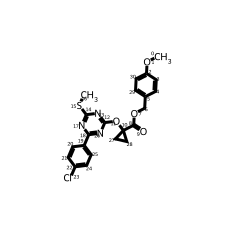 COc1ccc(COC(=O)C2(Oc3nc(SC)nc(-c4ccc(Cl)cc4)n3)CC2)cc1